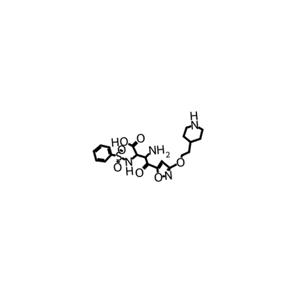 NC(C(=O)c1cc(OCCC2CCNCC2)no1)C(NS(=O)(=O)c1ccccc1)C(=O)O